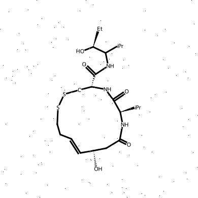 CC[C@H](O)C(NC(=O)[C@H]1CSSCC/C=C/[C@@H](O)CC(=O)N[C@H](C(C)C)C(=O)N1)C(C)C